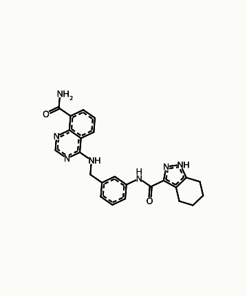 NC(=O)c1cccc2c(NCc3cccc(NC(=O)c4n[nH]c5c4CCCC5)c3)ncnc12